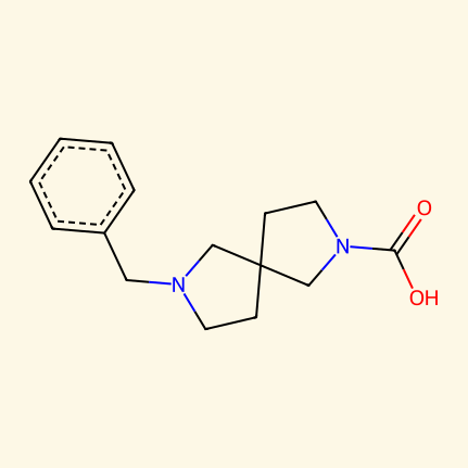 O=C(O)N1CCC2(CCN(Cc3ccccc3)C2)C1